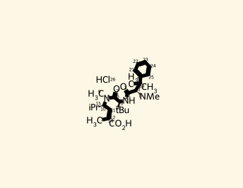 CN[C@H](C(=O)N[C@H](C(=O)N(C)[C@H](/C=C(\C)C(=O)O)C(C)C)C(C)(C)C)C(C)(C)c1ccccc1.Cl